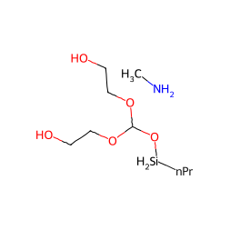 CCC[SiH2]OC(OCCO)OCCO.CN